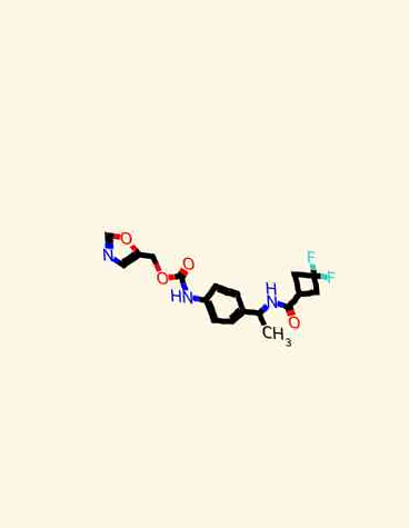 CC(NC(=O)C1CC(F)(F)C1)c1ccc(NC(=O)OCc2cnco2)cc1